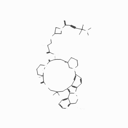 CCn1c(-c2cccnc2[C@H](C)OC)c2c3cc(ccc31)N1CCC[C@@H](C[C@H](NC(=O)[C@@H](COC3CN(C(=O)C#CC(C)(C)N(C)C)C3)C(C)C)C(=O)N3CCC[C@H](N3)C(=O)OCC(C)(C)C2)C1